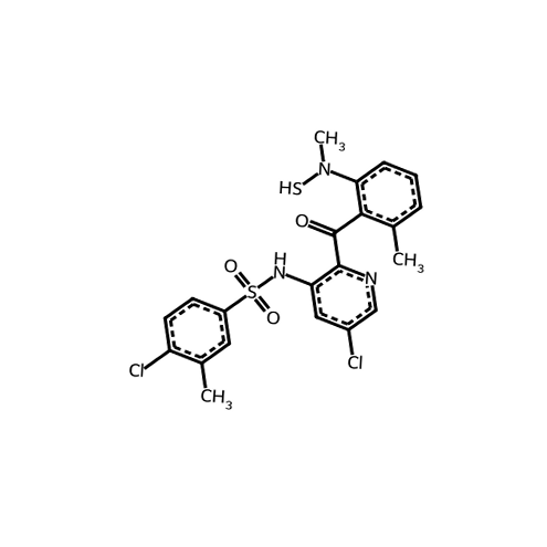 Cc1cc(S(=O)(=O)Nc2cc(Cl)cnc2C(=O)c2c(C)cccc2N(C)S)ccc1Cl